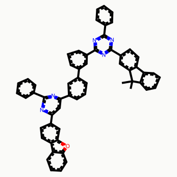 CC1(C)c2ccccc2-c2ccc(-c3nc(-c4ccccc4)nc(-c4cccc(-c5cccc(-c6cc(-c7ccc8c(c7)oc7ccccc78)nc(-c7ccccc7)n6)c5)c4)n3)cc21